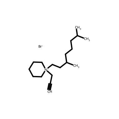 C#CC[N+]1(CCC(C)CCCC(C)C)CCCCC1.[Br-]